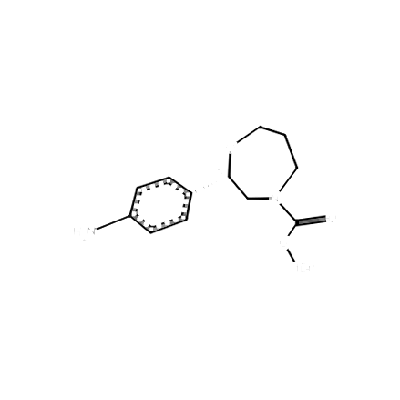 CC(C)(C)OC(=O)N1CCCO[C@@H](c2ccc(N)cc2)C1